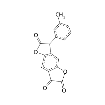 Cc1cccc(C2C(=O)Oc3cc4c(cc32)OC(=O)C4=O)c1